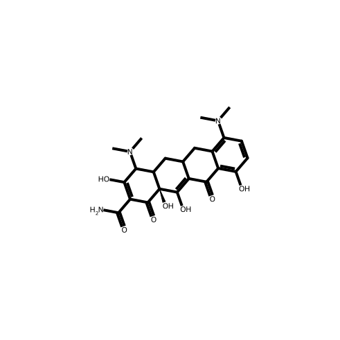 CN(C)c1ccc(O)c2c1CC1CC3C(N(C)C)C(O)=C(C(N)=O)C(=O)[C@@]3(O)C(O)=C1C2=O